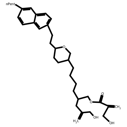 C=C(CO)CC(CCCCC1CCC(CCc2ccc3cc(CCCCC)ccc3c2)OC1)COC(=O)C(=C)CO